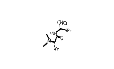 CC(C)[C@@H](C(=O)N[C@H](C=O)C(C)C)N(C)C